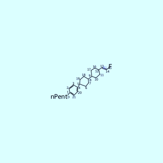 CCCCCc1ccc(C2CCC(C3CCC(/C=C/F)CC3)CC2)cc1